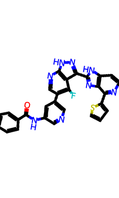 O=C(Nc1cncc(-c2cnc3[nH]nc(-c4nc5c(-c6cccs6)nccc5[nH]4)c3c2F)c1)c1ccccc1